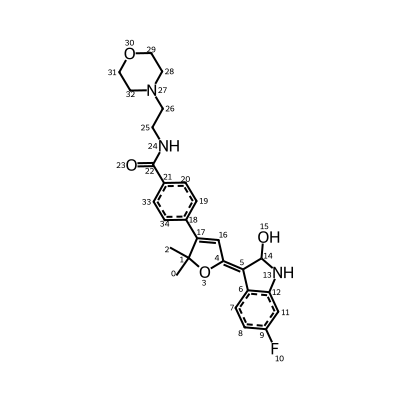 CC1(C)O/C(=C2\c3ccc(F)cc3NC2O)C=C1c1ccc(C(=O)NCCN2CCOCC2)cc1